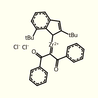 CC(C)(C)C1=Cc2cccc(C(C)(C)C)c2[CH]1[Zr+2]=[C](C(=O)c1ccccc1)C(=O)c1ccccc1.[Cl-].[Cl-]